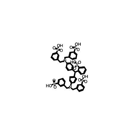 O=S(=O)(O)c1cccc(CN(Cc2cccc(S(=O)(=O)O)c2)c2ccc(C(c3ccc(N(Cc4cccc(S(=O)(=O)O)c4)Cc4cccc(S(=O)(=O)O)c4)cc3)c3ccccc3S(=O)(=O)O)cc2)c1